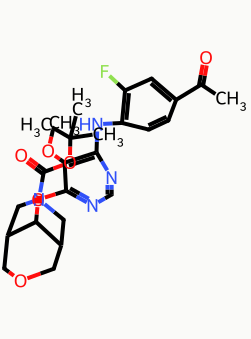 COc1c(Nc2ccc(C(C)=O)cc2F)ncnc1OC1C2COCC1CN(C(=O)OC(C)(C)C)C2